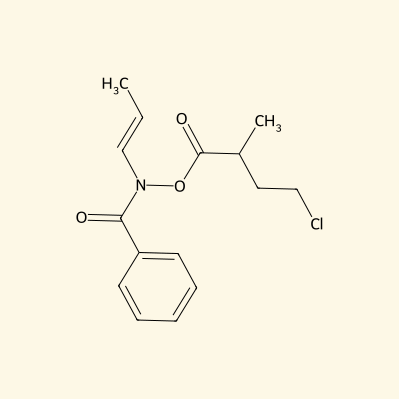 CC=CN(OC(=O)C(C)CCCl)C(=O)c1ccccc1